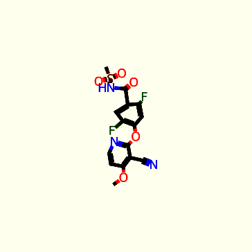 COc1ccnc(Oc2cc(F)c(C(=O)NS(C)(=O)=O)cc2F)c1C#N